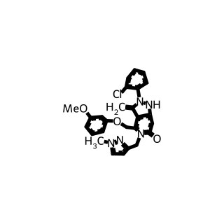 C=C1c2c(cc(=O)n(Cc3ccn(C)n3)c2COc2cccc(OC)c2)NN1c1ccccc1Cl